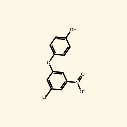 O=[N+]([O-])c1cc(Cl)cc(Oc2ccc(O)cc2)c1